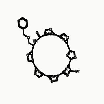 CCCc1oc2nc1-c1nc(co1)-c1nc(co1)-c1nc(co1)C(=O)NC(COCc1ccccc1)c1nc(co1)-c1nc(co1)-c1nc-2co1